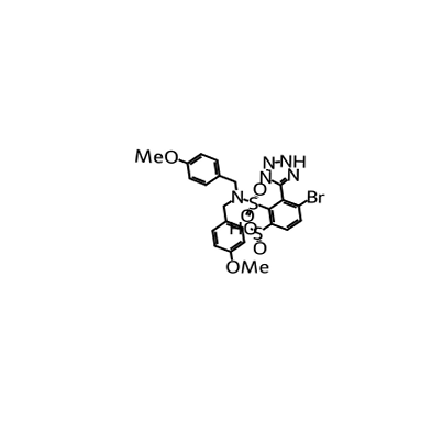 COc1ccc(CN(Cc2ccc(OC)cc2)S(=O)(=O)c2c(S(=O)O)ccc(Br)c2-c2nn[nH]n2)cc1